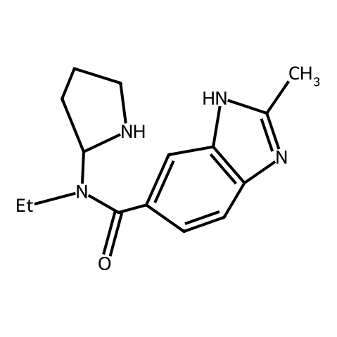 CCN(C(=O)c1ccc2nc(C)[nH]c2c1)C1CCCN1